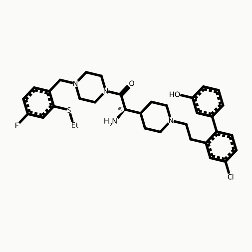 CCSc1cc(F)ccc1CN1CCN(C(=O)[C@H](N)C2CCN(CCc3cc(Cl)ccc3-c3cccc(O)c3)CC2)CC1